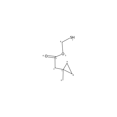 CC1(CC(=O)OCS)CC1